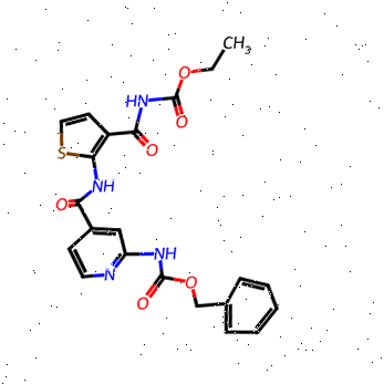 CCOC(=O)NC(=O)c1ccsc1NC(=O)c1ccnc(NC(=O)OCc2ccccc2)c1